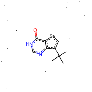 CC(C)(C)c1c[se]c2c(=O)[nH]cnc12